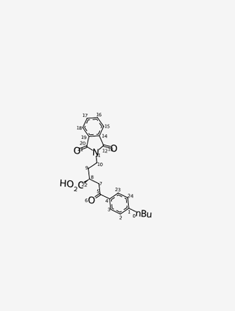 CCCCc1ccc(C(=O)C[C@H](CCN2C(=O)c3ccccc3C2=O)C(=O)O)cc1